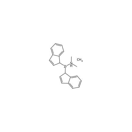 C.C[SiH](C)[Zr]([CH]1C=Cc2ccccc21)[CH]1C=Cc2ccccc21